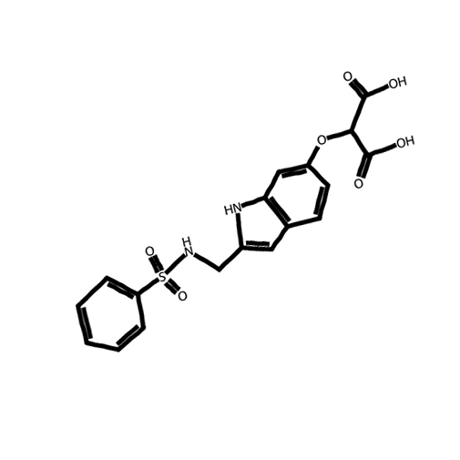 O=C(O)C(Oc1ccc2cc(CNS(=O)(=O)c3ccccc3)[nH]c2c1)C(=O)O